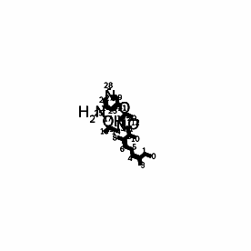 CC/C(C)=C\C/C=C(/C)C(C)C(=O)N(CC(C)O)CC(C)OC1=CC(N)=CN(C)C1